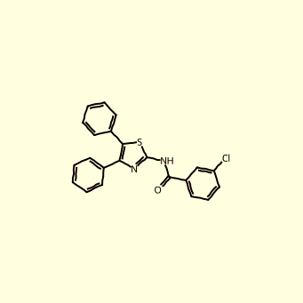 O=C(Nc1nc(-c2ccccc2)c(-c2ccccc2)s1)c1cccc(Cl)c1